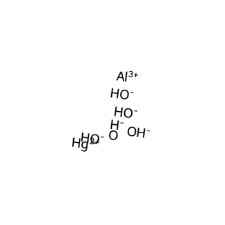 [Al+3].[Hg+2].[OH-].[OH-].[OH-].[OH-].[OH-]